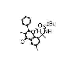 [2H][C@](C)(N[S@+]([O-])C(C)(C)C)c1cc(C)cc2c(=O)c(C)c(-c3ccccc3)oc12